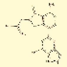 C=C(C#N)CN1Cc2c(-c3cc(Cl)c4[nH]ncc4c3)ccc(N)c2C1=O